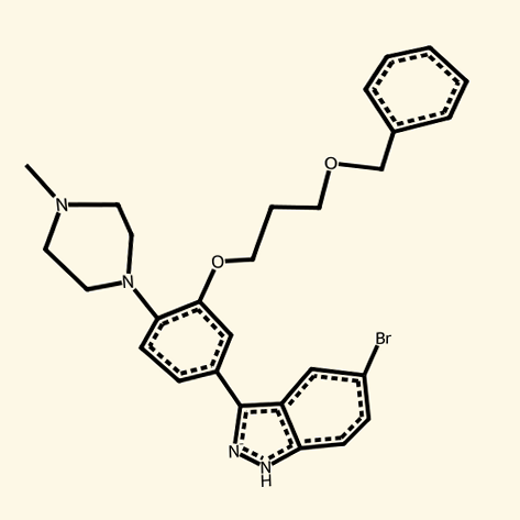 CN1CCN(c2ccc(-c3n[nH]c4ccc(Br)cc34)cc2OCCCOCc2ccccc2)CC1